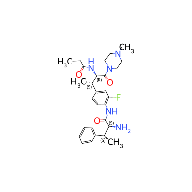 CCC(=O)N[C@@H](C(=O)N1CCN(C)CC1)[C@@H](C)c1ccc(NC(=O)[C@@H](N)[C@@H](C)c2ccccc2)c(F)c1